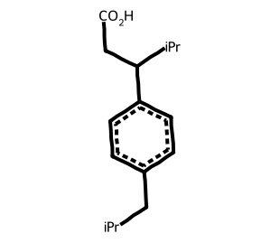 CC(C)Cc1ccc(C(CC(=O)O)C(C)C)cc1